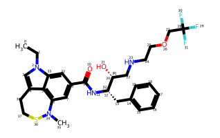 CCn1cc2c3c(cc(C(=O)N[C@@H](Cc4ccccc4)[C@H](O)CNCCOCC(F)(F)F)cc31)N(C)SCC2